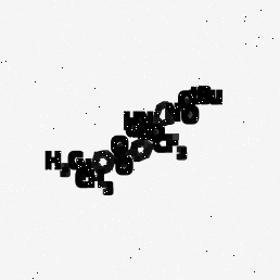 CN(C)c1ccc(S(=O)(=O)c2ccc(C(F)(F)F)c(S(=O)(=O)NC3CCN(C(=O)OC(C)(C)C)CC3)c2)cc1